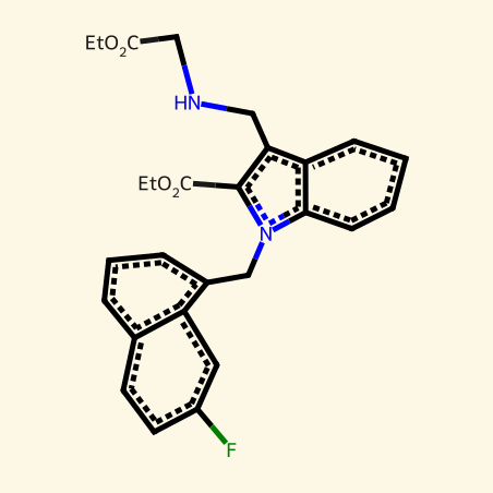 CCOC(=O)CNCc1c(C(=O)OCC)n(Cc2cccc3ccc(F)cc23)c2ccccc12